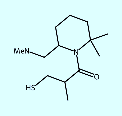 CNCC1CCCC(C)(C)N1C(=O)C(C)CS